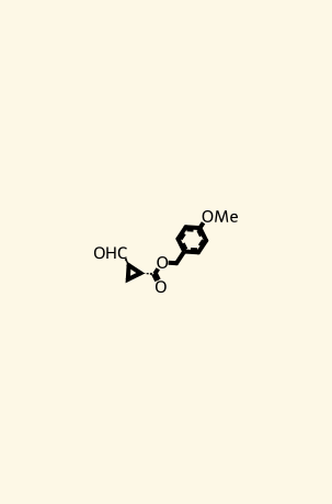 COc1ccc(COC(=O)[C@@H]2C[C@@H]2C=O)cc1